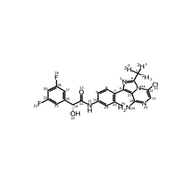 [2H]C([2H])([2H])c1nc(-c2ccc(NC(=O)[C@H](O)c3cc(F)cc(F)c3)cc2C)c2c(N)ncc(Cl)n12